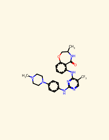 CC1COc2cccc(Nc3nc(Nc4ccc(N5CCN(C)CC5)cc4)ncc3C(F)(F)F)c2C(=O)N1